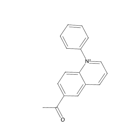 CC(=O)c1ccc2c(ccc[n+]2-c2ccccc2)c1